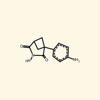 CCCN1C(=O)C2CC(c3ccc(N)cc3)(C2)C1=O